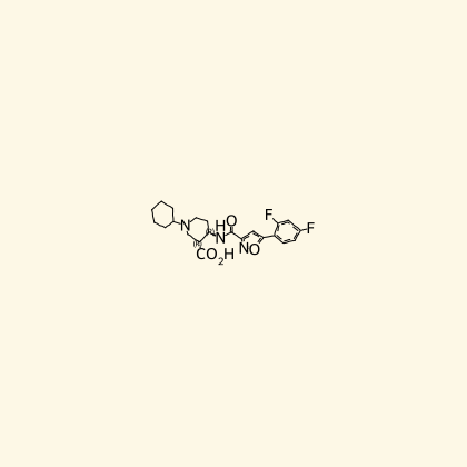 O=C(N[C@@H]1CCN(C2CCCCC2)C[C@H]1C(=O)O)c1cc(-c2ccc(F)cc2F)on1